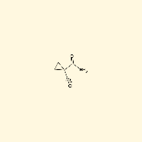 NC(=O)[C]1([Mg][Cl])CC1